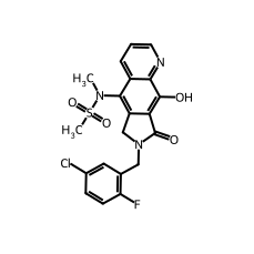 CN(c1c2c(c(O)c3ncccc13)C(=O)N(Cc1cc(Cl)ccc1F)C2)S(C)(=O)=O